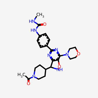 CNC(=O)Nc1ccc(-c2nc3c(c(N4CCOCC4)n2)ONC3C2CCN(C(C)=O)CC2)cc1